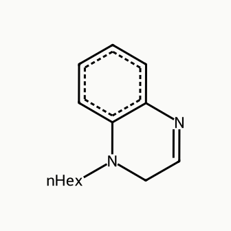 CCCCCCN1CC=Nc2ccccc21